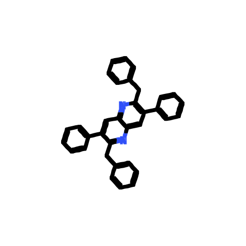 c1ccc(Cc2nc3cc(-c4ccccc4)c(Cc4ccccc4)nc3cc2-c2ccccc2)cc1